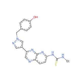 CCNC(=S)Nc1ccc2ncc(-c3cnn(Cc4ccc(O)cc4)c3)nc2n1